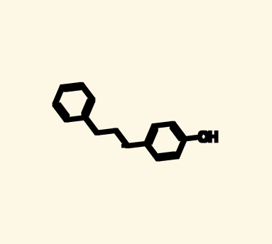 Oc1ccc([CH]CCc2ccccc2)cc1